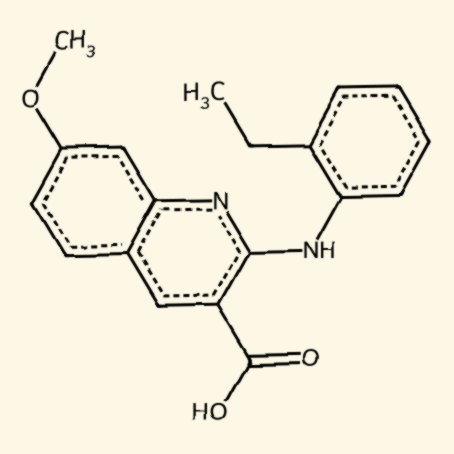 CCc1ccccc1Nc1nc2cc(OC)ccc2cc1C(=O)O